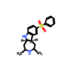 CC1C[C@@H]2c3cc(S(=O)(=O)c4ccccc4)ccc3N[C@@H]2CC(C)N1